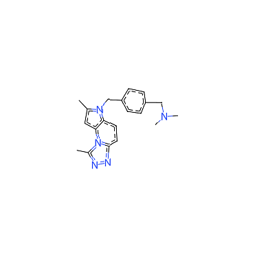 Cc1cc2c(ccc3nnc(C)n32)n1Cc1ccc(CN(C)C)cc1